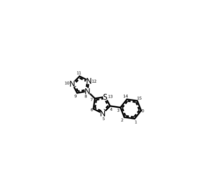 c1ccc(-c2ncc(-n3cncn3)s2)cc1